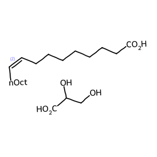 CCCCCCCC/C=C\CCCCCCCC(=O)O.O=C(O)C(O)CO